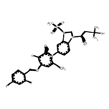 Cc1cc(OCc2ccc(F)cc2F)c(Cl)c(=O)n1-c1ccc2c(c1)N(S(C)(=O)=O)CN2C(=O)CC(C)(C)O